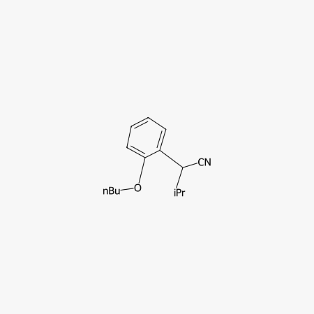 CCCCOc1ccccc1C(C#N)C(C)C